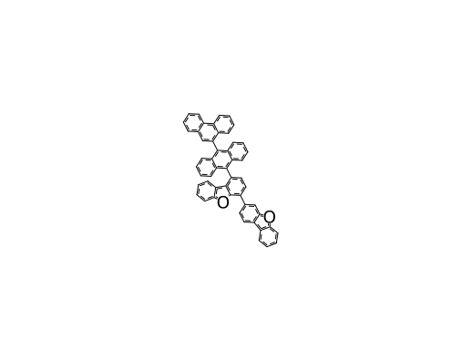 c1ccc2c(c1)cc(-c1c3ccccc3c(-c3ccc(-c4ccc5c(c4)oc4ccccc45)c4oc5ccccc5c34)c3ccccc13)c1ccccc12